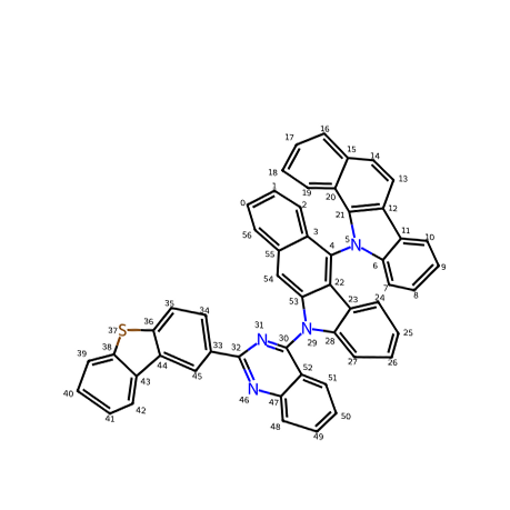 c1ccc2c(-n3c4ccccc4c4ccc5ccccc5c43)c3c4ccccc4n(-c4nc(-c5ccc6sc7ccccc7c6c5)nc5ccccc45)c3cc2c1